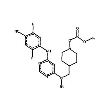 CCN(CC1CCN(OC(=O)OC(C)C)CC1)c1cc(Nc2cc(F)c(C#N)cc2F)ncn1